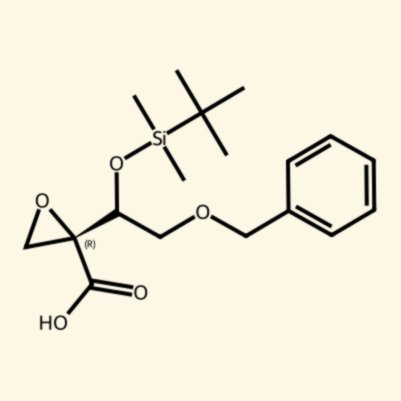 CC(C)(C)[Si](C)(C)OC(COCc1ccccc1)[C@@]1(C(=O)O)CO1